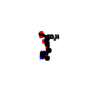 O=C(NCc1cccc(OCc2ccc(C(=O)N3CCC(C(=O)O)C(CCCC4OCCO4)C3)cc2)c1)O[C@H]1CN2CCC1C(c1ccccc1)C2